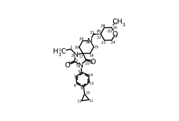 CCN1C(=O)N(c2ccc(C3CC3)cc2)C(=O)C12CCN(C[C@@H]1CCO[C@@H](C)C1)CC2